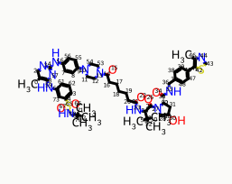 Cc1cnc(Nc2ccc(N3CCN(C(=O)CCCCCC(=O)NC(C(=O)N4C[C@H](O)C[C@H]4C(=O)NCc4ccc(-c5scnc5C)cc4)C(C)(C)C)CC3)cc2)nc1Nc1cccc(S(=O)(=O)NC(C)(C)C)c1